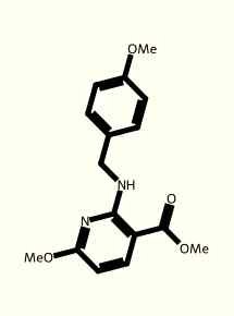 COC(=O)c1ccc(OC)nc1NCc1ccc(OC)cc1